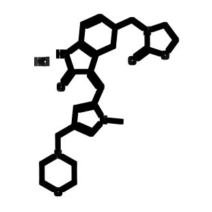 Cl.Cn1cc(CN2CCOCC2)cc1C=C1C(=O)NC2=C1CC(CN1CCOC1=O)C=C2